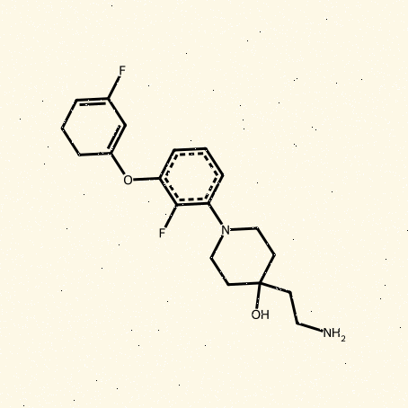 NCCC1(O)CCN(c2cccc(OC3=CC(F)=CCC3)c2F)CC1